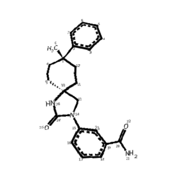 C[C@]1(c2ccccc2)CC[C@]2(CC1)CN(c1cccc(C(N)=O)c1)C(=O)N2